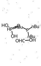 CCCCP(CCCC)CCCC.O=CO.O=[PH](O)O